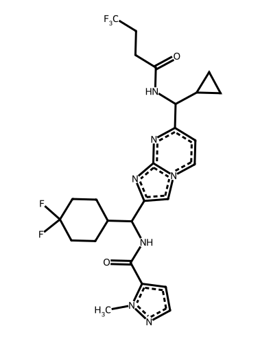 Cn1nccc1C(=O)NC(c1cn2ccc(C(NC(=O)CCC(F)(F)F)C3CC3)nc2n1)C1CCC(F)(F)CC1